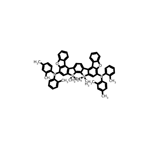 Cc1ccc(N(c2ccccc2C)c2cc3c(c4c2oc2ccccc24)-c2ccc4c(c2[Si]3(C)C)[Si](C)(C)c2cc(N(c3ccccc3C)c3ccc(C)cc3C)c3oc5ccccc5c3c2-4)c(C)c1